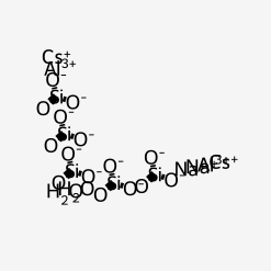 O.O.O=[Si]([O-])[O-].O=[Si]([O-])[O-].O=[Si]([O-])[O-].O=[Si]([O-])[O-].O=[Si]([O-])[O-].[Al+3].[Al+3].[Cs+].[Cs+].[Na+].[Na+]